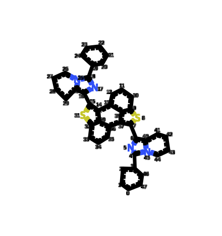 c1ccc(-c2nc(-c3sc4cccc5c6c(-c7nc(-c8ccccc8)n8ccccc78)sc7cccc(c3c45)c76)c3ccccn23)cc1